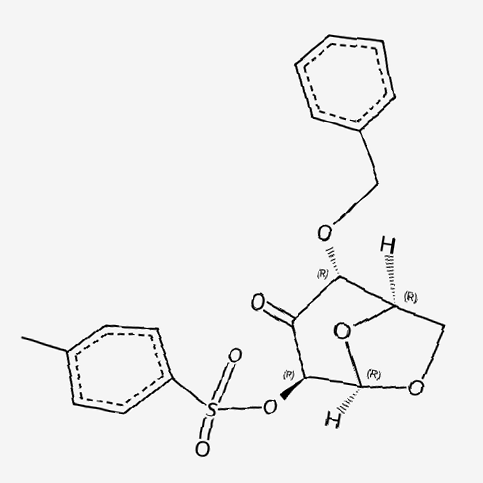 Cc1ccc(S(=O)(=O)O[C@H]2C(=O)[C@H](OCc3ccccc3)[C@H]3CO[C@@H]2O3)cc1